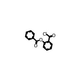 O=C(Oc1ccccc1C(=O)Cl)c1ccccc1